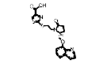 O=C(O)c1csc(SCCN2C(=O)CC[C@@H]2COc2cccc3cccnc23)n1